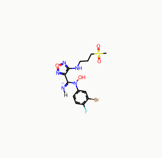 [H]/N=C(/c1nonc1NCCCS(C)(=O)=O)N(O)c1ccc(F)c(Br)c1